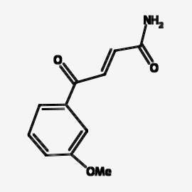 COc1cccc(C(=O)/C=C/C(N)=O)c1